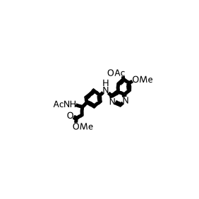 COC(=O)CC(NC(C)=O)c1ccc(Nc2ncnc3cc(OC)c(OC(C)=O)cc23)cc1